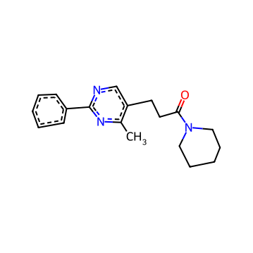 Cc1nc(-c2ccccc2)ncc1CCC(=O)N1CCCCC1